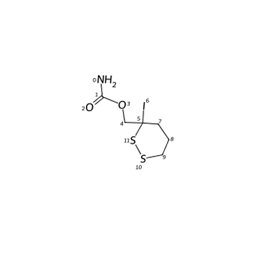 NC(=O)OCC1(I)CCCSS1